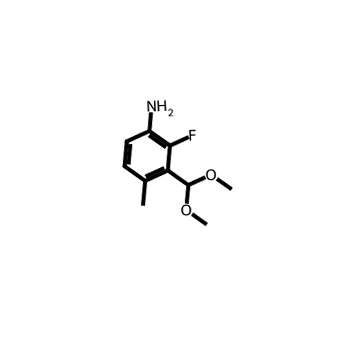 COC(OC)c1c(C)ccc(N)c1F